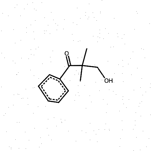 CC(C)(CO)C(=O)c1ccccc1